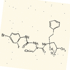 CC(C)CC(C)(CCc1ccccc1)NC(=O)N(C=O)NC(=O)Nc1ccc(Br)cc1F